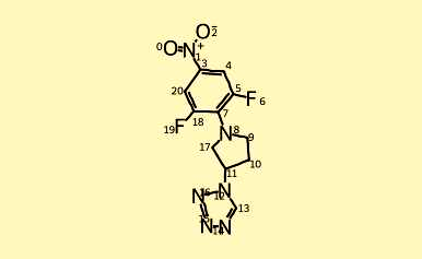 O=[N+]([O-])c1cc(F)c(N2CCC(n3cnnn3)C2)c(F)c1